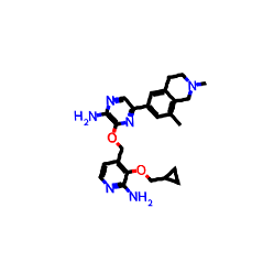 Cc1cc(-c2cnc(N)c(OCc3ccnc(N)c3OCC3CC3)n2)cc2c1CN(C)CC2